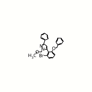 COCn1nc(-c2ccccc2)cc1-c1c(Br)cccc1OCc1ccccc1